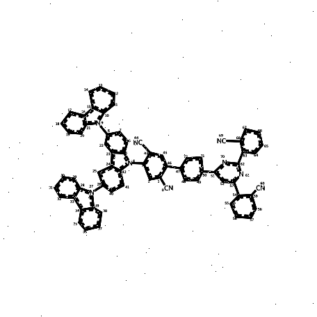 N#Cc1cc(-n2c3ccc(-n4c5ccccc5c5ccccc54)cc3c3cc(-n4c5ccccc5c5ccccc54)ccc32)c(C#N)cc1-c1ccc(-c2cc(-c3ccccc3C#N)nc(-c3ccccc3C#N)n2)cc1